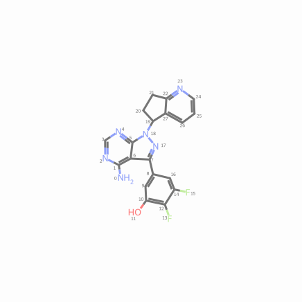 Nc1ncnc2c1c(-c1cc(O)c(F)c(F)c1)nn2C1CCc2ncccc21